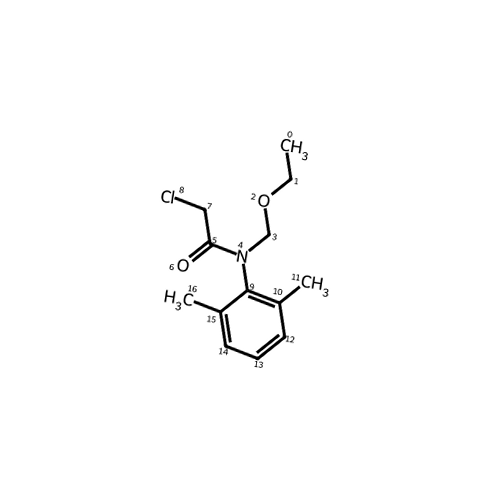 CCOCN(C(=O)CCl)c1c(C)cccc1C